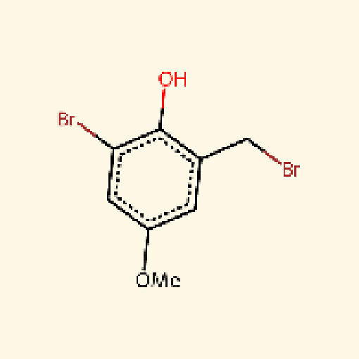 COc1cc(Br)c(O)c(CBr)c1